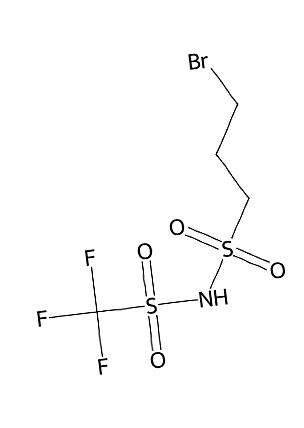 O=S(=O)(CCCBr)NS(=O)(=O)C(F)(F)F